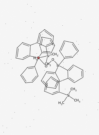 C[Si](C)(C)c1ccccc1-c1ccccc1[Si](OO[Si](c1ccccc1)(c1ccccc1)c1ccccc1-c1ccccc1[Si](C)(C)C)(c1ccccc1)c1ccccc1